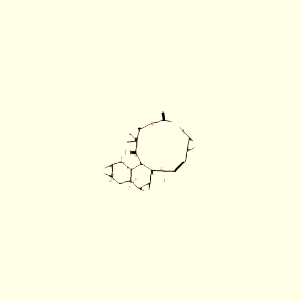 C[C@@H]1C(=O)O[C@@H](C)C2OC2/C=C\[C@@H](C)[C@@H]2C3OC3[C@@H]3C[C@@]4(C)O[C@H]4[C@@H](C)C3C2C(=O)C(Cl)(Cl)C1=O